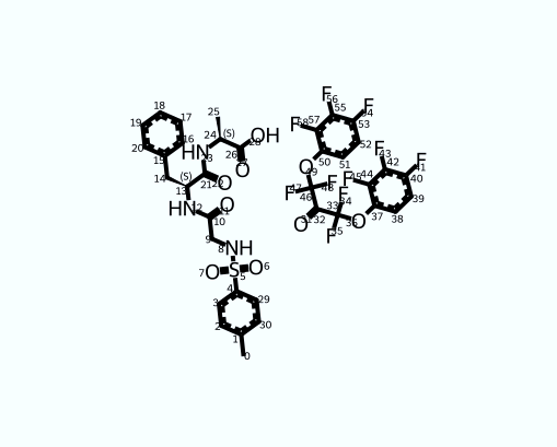 Cc1ccc(S(=O)(=O)NCC(=O)N[C@@H](Cc2ccccc2)C(=O)N[C@@H](C)C(=O)O)cc1.O=C(C(F)(F)Oc1ccc(F)c(F)c1F)C(F)(F)Oc1ccc(F)c(F)c1F